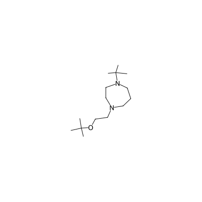 CC(C)(C)OCCN1CCCN(C(C)(C)C)CC1